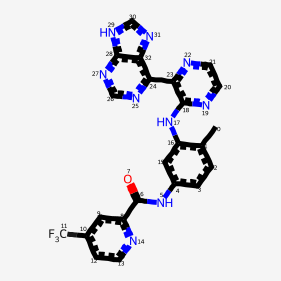 Cc1ccc(NC(=O)c2cc(C(F)(F)F)ccn2)cc1Nc1nccnc1-c1ncnc2[nH]cnc12